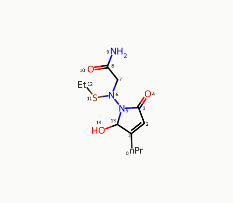 CCCC1=CC(=O)N(N(CC(N)=O)SCC)C1O